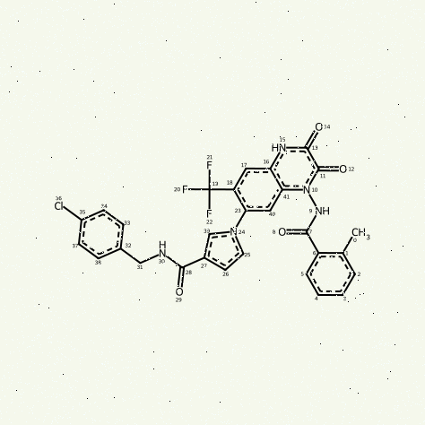 Cc1ccccc1C(=O)Nn1c(=O)c(=O)[nH]c2cc(C(F)(F)F)c(-n3ccc(C(=O)NCc4ccc(Cl)cc4)c3)cc21